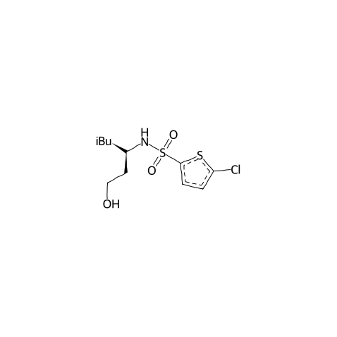 CC[C@H](C)[C@H](CCO)NS(=O)(=O)c1ccc(Cl)s1